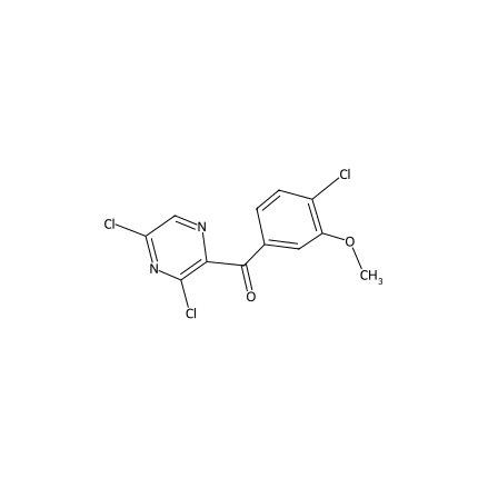 COc1cc(C(=O)c2ncc(Cl)nc2Cl)ccc1Cl